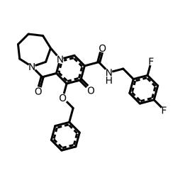 O=C(NCc1ccc(F)cc1F)c1cn2c(c(OCc3ccccc3)c1=O)C(=O)N1CCCCC2C1